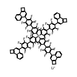 Fc1c(F)c(-c2cc3c(c4ccccc24)CC3)c(F)c(F)c1-c1c(F)c(F)c([B-](c2c(F)c(F)c(-c3c(F)c(F)c(-c4cc5c(c6ccccc46)CC5)c(F)c3F)c(F)c2F)(c2c(F)c(F)c(-c3c(F)c(F)c(-c4cc5c(c6ccccc46)CC5)c(F)c3F)c(F)c2F)c2c(F)c(F)c(-c3c(F)c(F)c(-c4cc5c(c6ccccc46)CC5)c(F)c3F)c(F)c2F)c(F)c1F.[Li+]